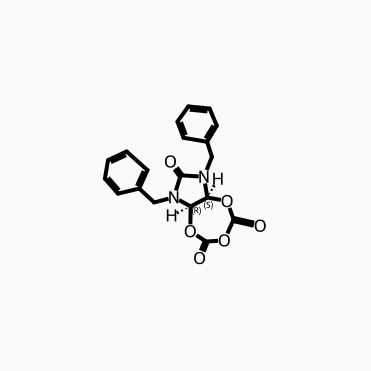 O=C1OC(=O)O[C@H]2[C@@H](O1)N(Cc1ccccc1)C(=O)N2Cc1ccccc1